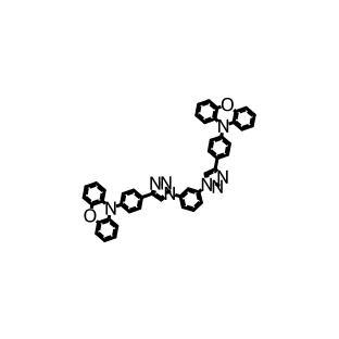 c1cc(-n2cc(-c3ccc(N4c5ccccc5Oc5ccccc54)cc3)nn2)cc(-n2cc(-c3ccc(N4c5ccccc5Oc5ccccc54)cc3)nn2)c1